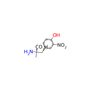 C[C@](N)(Cc1ccc(O)c([N+](=O)[O-])c1)C(=O)O